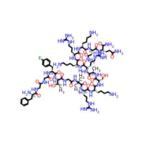 C[C@H](NC(=O)[C@H](CO)NC(=O)[C@H](CCCCN)NC(=O)[C@H](CCCNC(=N)N)NC(=O)C(C)(C)NC(=O)CNC(=O)[C@@H](NC(=O)[C@H](Cc1ccc(F)cc1)NC(=O)CNC(=O)CNC(=O)[C@@H](N)Cc1ccccc1)[C@@H](C)O)C(=O)N[C@@H](CCCNC(=N)N)C(=O)N[C@@H](CCCCN)C(=O)N[C@@H](CCCNC(=N)N)C(=O)N[C@@H](CCCCN)C(=O)N[C@@H](CC(N)=O)C(=O)N[C@@H](CCC(N)=O)C(N)=O